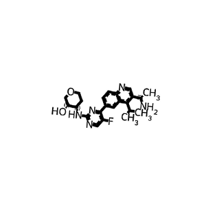 CC(C)c1c([C@@H](C)N)cnc2ccc(-c3nc(N[C@@H]4CCOC[C@H]4O)ncc3F)cc12